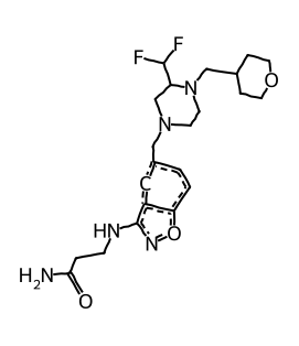 NC(=O)CCNc1noc2ccc(CN3CCN(CC4CCOCC4)C(C(F)F)C3)cc12